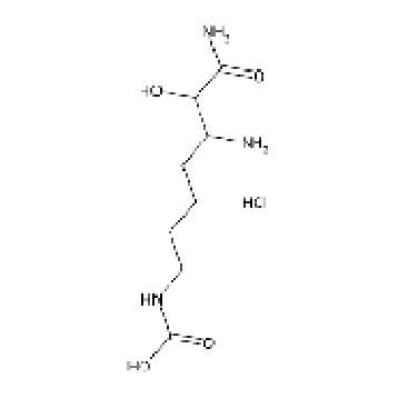 Cl.NC(=O)C(O)C(N)CCCCNC(=O)O